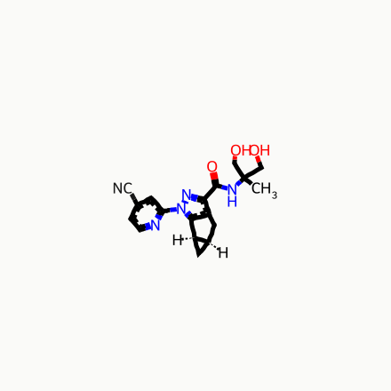 CC(CO)(CO)NC(=O)c1nn(-c2cc(C#N)ccn2)c2c1C[C@H]1C[C@@H]21